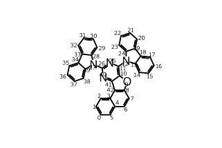 c1ccc2c(c1)ccc1oc3c(-n4c5ccccc5c5ccccc54)nc(-n4c5ccccc5c5ccccc54)nc3c12